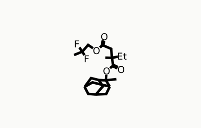 CCC(C)(CC(=O)OCC(C)(F)F)C(=O)OC1(C)C2CC3CC(C2)CC1C3